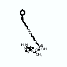 C[C@H](Cn1cnc2c(N)ncnc21)OCP(=O)(O)OCCSCCCCCCCCCCCC#CC1CCCCC1